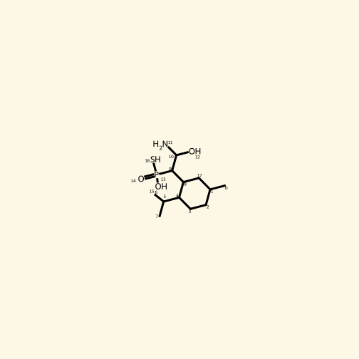 CC1CCC(C(C)C)C(C(C(N)O)P(=O)(O)S)C1